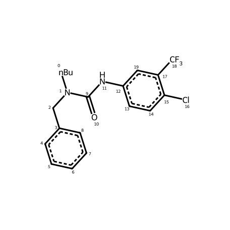 CCCCN(Cc1ccccc1)C(=O)Nc1ccc(Cl)c(C(F)(F)F)c1